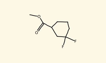 COC(=O)C1CCCC(F)(F)C1